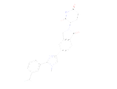 Cn1cc(-c2ccc3c(c2)CN(C2CCC(=O)NC2=O)C3=O)nc1-c1cccc(C(F)F)c1